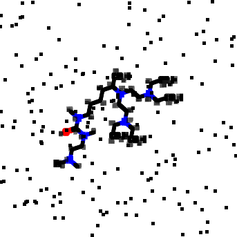 CCN(C)CCN(C)C(=O)N(C)CCCCC(C(=O)O)N(CCN(CC(=O)O)CC(=O)O)CCN(CC(=O)O)CC(=O)O